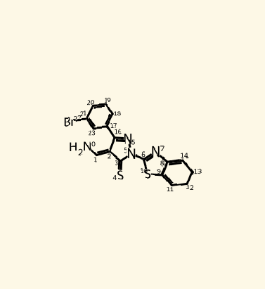 N/C=C1/C(=S)N(c2nc3c(s2)=CCCC=3)N=C1c1cccc(Br)c1